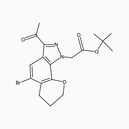 CC(=O)c1nn(CC(=O)OC(C)(C)C)c2c3c(c(Br)cc12)CCCO3